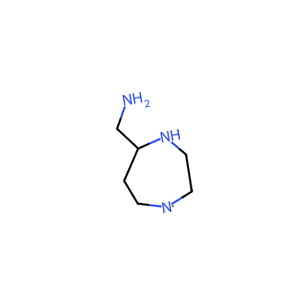 NCC1CC[N]CCN1